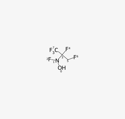 ON(F)C(F)(CF)C(F)(F)F